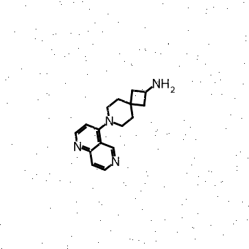 NC1CC2(CCN(c3ccnc4ccncc34)CC2)C1